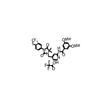 COc1cc(OC)cc(C(=O)Nc2cc(CN3C(=O)N(c4ccc(SC(F)(F)F)cc4)C(=O)C3(C)C)ccn2)c1.O=C(O)C(F)(F)F